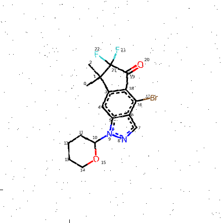 CC1(C)c2cc3c(cnn3C3CCCCO3)c(Br)c2C(=O)C1(F)F